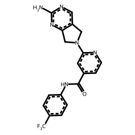 Nc1ncc2c(n1)CN(c1cc(C(=O)Nc3ccc(C(F)(F)F)cc3)ccn1)C2